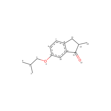 CC(C)COc1ccc2c(c1)C(=O)C(C)C2